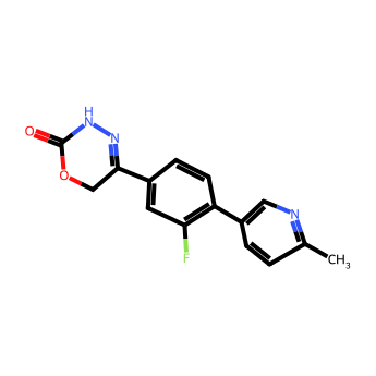 Cc1ccc(-c2ccc(C3=NNC(=O)OC3)cc2F)cn1